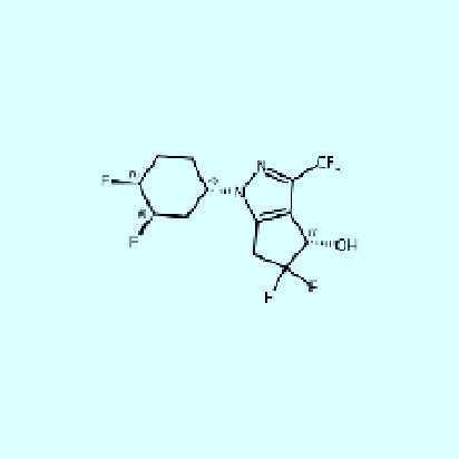 O[C@H]1c2c(C(F)(F)F)nn([C@H]3CC[C@H](F)[C@H](F)C3)c2CC1(F)F